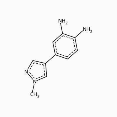 Cn1cc(-c2ccc(N)c(N)c2)cn1